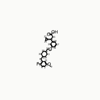 COc1ccc(F)c(CC2CCC(COc3cccc(C(CC(=O)O)C4CC4)c3)CC2)c1